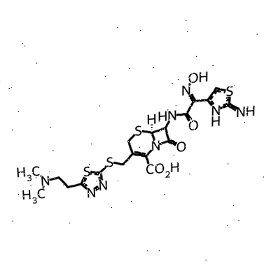 CN(C)CCc1nnc(SCC2=C(C(=O)O)N3C(=O)C(NC(=O)C(=NO)c4csc(=N)[nH]4)[C@@H]3SC2)s1